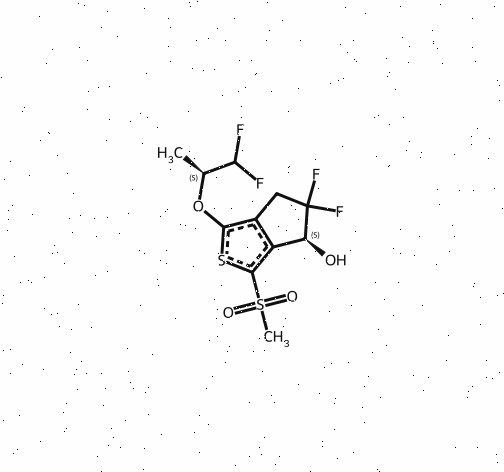 C[C@H](Oc1sc(S(C)(=O)=O)c2c1CC(F)(F)[C@H]2O)C(F)F